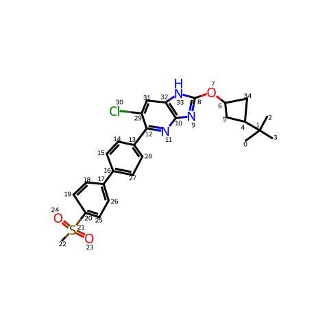 CC(C)(C)C1CC(Oc2nc3nc(-c4ccc(-c5ccc(S(C)(=O)=O)cc5)cc4)c(Cl)cc3[nH]2)C1